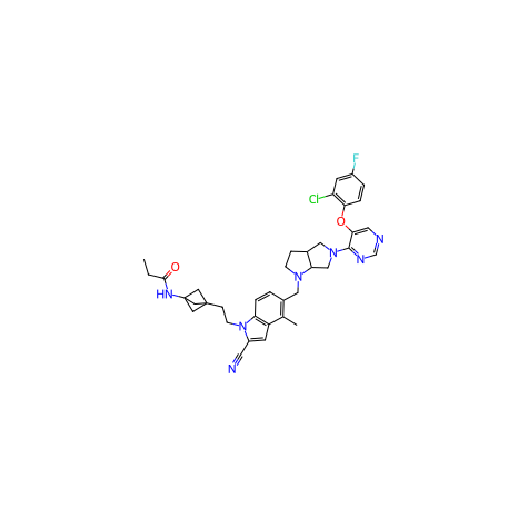 CCC(=O)NC12CC(CCn3c(C#N)cc4c(C)c(CN5CCC6CN(c7ncncc7Oc7ccc(F)cc7Cl)CC65)ccc43)(C1)C2